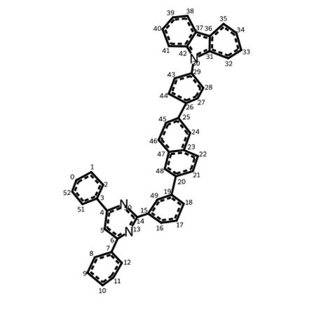 c1ccc(-c2cc(-c3ccccc3)nc(-c3cccc(-c4ccc5cc(-c6ccc(-n7c8ccccc8c8ccccc87)cc6)ccc5c4)c3)n2)cc1